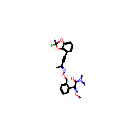 CO/N=C(/C(=O)N(C)I)c1ccccc1CO/N=C(\C)C#Cc1cccc2c1OC(F)(I)O2